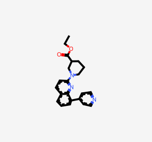 CCOC(=O)C1CCCN(c2ccc3cccc(-c4ccncc4)c3n2)C1